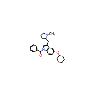 CN1CCCC1Cc1cn(C(=O)c2ccccc2)c2ccc(OC3CCCCC3)cc12